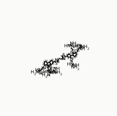 N=C(N)NCCOc1cc(-c2nc(CCc3csc(-c4ccc(-c5cccc(OCCNC(=N)N)c5OCCNC(=N)N)c(OCCNC(=N)N)c4)n3)cs2)ccc1-c1cccc(OCCNC(=N)N)c1OCCNC(=N)N